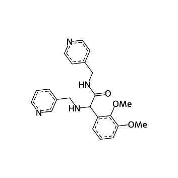 COc1cccc(C(NCc2cccnc2)C(=O)NCc2ccncc2)c1OC